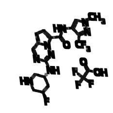 Cn1cc(NC(=O)c2ccc3cnc(N[C@H]4CNC[C@H](F)C4)nn23)c(C(F)(F)F)n1.O=C(O)C(F)(F)F